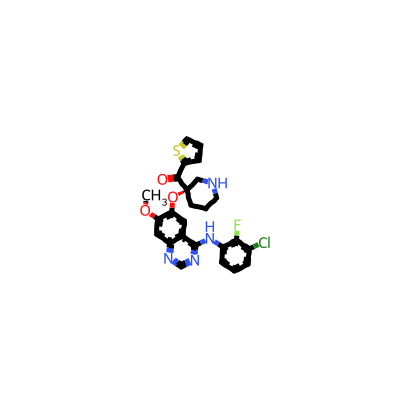 COc1cc2ncnc(Nc3cccc(Cl)c3F)c2cc1O[C@]1(C(=O)c2cccs2)CCCNC1